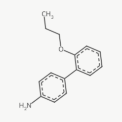 CCCOc1ccccc1-c1ccc(N)cc1